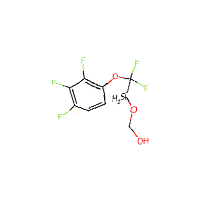 OCO[SiH2]C(F)(F)Oc1ccc(F)c(F)c1F